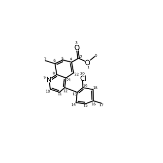 COC(=O)c1cc(C)c2nccc(-c3ccc(C)cc3Cl)c2c1